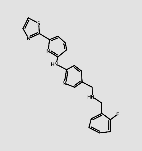 Fc1ccccc1CNCc1ccc(Nc2cccc(-c3nccs3)n2)nc1